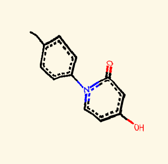 Cc1ccc(-n2ccc(O)cc2=O)cc1